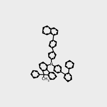 CC1(c2ccccc2)c2ccccc2-c2c(N(c3ccc(-c4ccc(-c5cccc6ccccc56)cc4)cc3)c3ccc(-c4ccccc4-c4ccccc4)cc3)cccc21